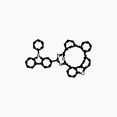 c1ccc(-n2c3ccccc3c3ccc(-c4nc5nc(n4)c4cccc6oc7ccc(cc7c64)c4ccccc4c4cccc5c4)cc32)cc1